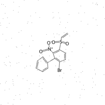 C=CS(=O)(=O)c1ccc(Br)c(-c2ccccc2)c1[N+](=O)[O-]